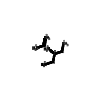 C=CC.CCN(N)CC